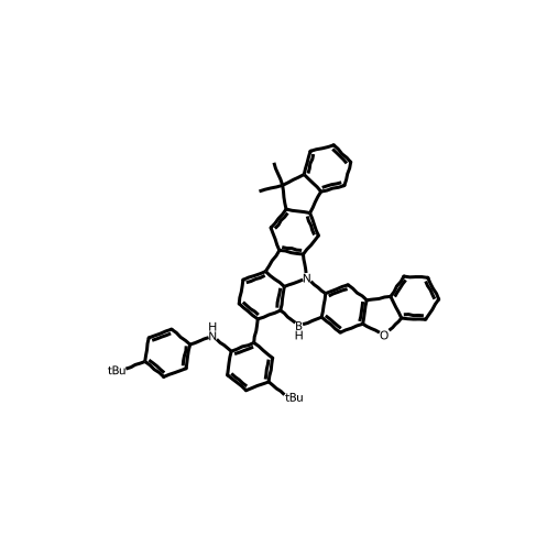 CC(C)(C)c1ccc(Nc2ccc(C(C)(C)C)cc2-c2ccc3c4cc5c(cc4n4c3c2Bc2cc3oc6ccccc6c3cc2-4)-c2ccccc2C5(C)C)cc1